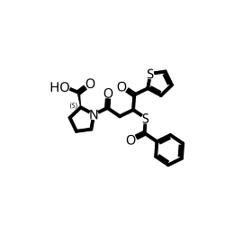 O=C(SC(CC(=O)N1CCC[C@H]1C(=O)O)C(=O)c1cccs1)c1ccccc1